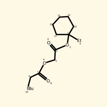 CCC1(OC(=O)COC(=O)CC(C)(C)C)CCCCC1